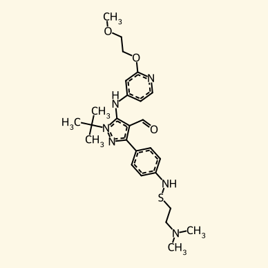 COCCOc1cc(Nc2c(C=O)c(-c3ccc(NSCCN(C)C)cc3)nn2C(C)(C)C)ccn1